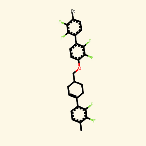 CCc1ccc(-c2ccc(OCC3CC=C(c4ccc(C)c(F)c4F)CC3)c(F)c2F)c(F)c1F